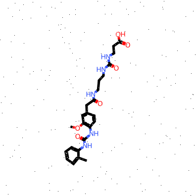 COc1cc(CC(=O)NCCCNC(=O)NCCC(=O)O)ccc1NC(=O)Nc1ccccc1C